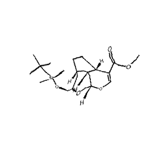 COC(=O)C1=CO[C@@H]2O[C@@H](O[Si](C)(C)C(C)(C)C)[C@@H]3CC[C@H]1[C@H]23